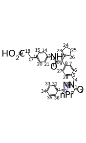 CCCC(=O)N(Cc1ccc(C(C(=O)Nc2ccc(CCC(=O)O)cc2)C2CCCC2)cc1)/N=C/c1ccccc1